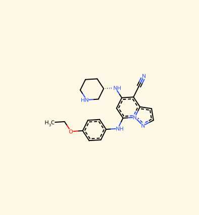 CCOc1ccc(Nc2cc(N[C@H]3CCCNC3)c(C#N)c3ccnn23)cc1